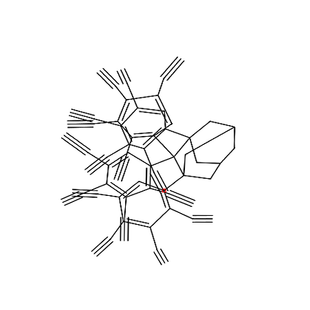 C#Cc1cc(C23CC4CC(C2)CC(c2cc(C#C)c(C#C)c(C#C)c2C#C)(C4)C3(c2cc(C#C)c(C#C)c(C#C)c2C#C)c2cc(C#C)c(C#C)c(C#C)c2C#C)c(C#C)c(C#C)c1C#C